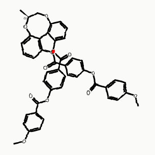 COc1ccc(C(=O)Oc2ccc(C(=O)Oc3cccc4c3-c3c(OC(=O)c5ccc(OC(=O)c6ccc(OC)cc6)cc5)cccc3O[C@@H](C)CO4)cc2)cc1